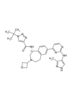 Cc1n[nH]cc1Nc1nccc(-c2ccc3c(c2)CCN(C2COC2)C[C@@H]3NC(=O)c2cn(C(C)(C)C)nn2)n1